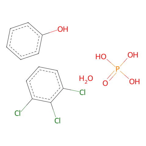 Clc1cccc(Cl)c1Cl.O.O=P(O)(O)O.Oc1ccccc1